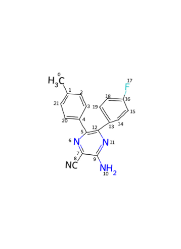 Cc1ccc(-c2nc(C#N)c(N)nc2-c2ccc(F)cc2)cc1